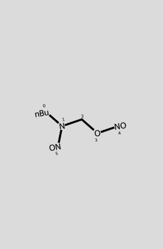 CCCCN(CON=O)N=O